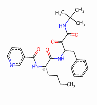 CCCC[C@H](NC(=O)c1cccnc1)C(=O)NC(Cc1ccccc1)C(=O)C(=O)NC(C)(C)C